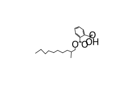 CCCCCCCCC(C)COC(=O)c1ccccc1C(=O)O